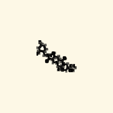 C[C@]1(O)CO[C@@H]2Cn3cc(C(=O)NCc4ccc(F)cc4F)c(=O)cc3C(=O)N2C1